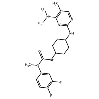 Cc1cnc(NC2CCC(NC(=O)N(C)c3ccc(F)c(F)c3)CC2)nc1N(C)C